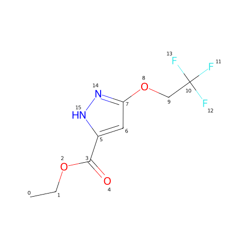 CCOC(=O)c1cc(OCC(F)(F)F)n[nH]1